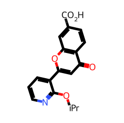 CC(C)Oc1ncccc1-c1cc(=O)c2ccc(C(=O)O)cc2o1